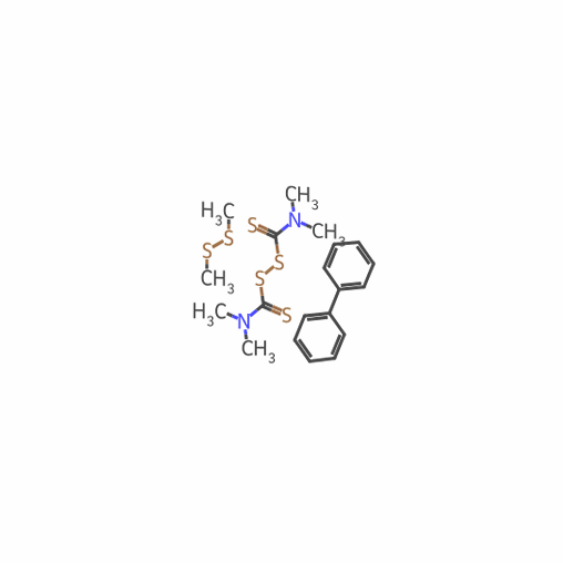 CN(C)C(=S)SSC(=S)N(C)C.CSSC.c1ccc(-c2ccccc2)cc1